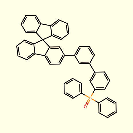 O=P(c1ccccc1)(c1ccccc1)c1cccc(-c2cccc(-c3ccc4c(c3)C3(c5ccccc5-c5ccccc53)c3ccccc3-4)c2)c1